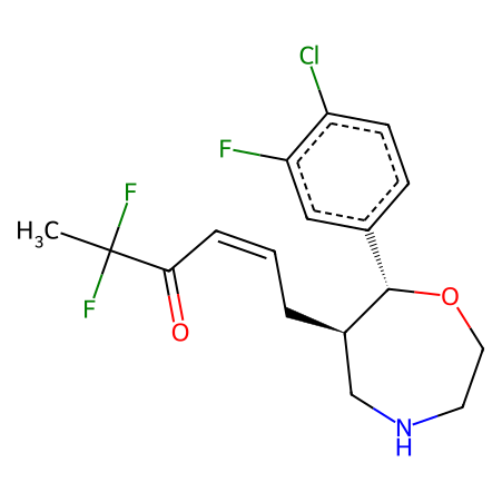 CC(F)(F)C(=O)/C=C\C[C@@H]1CNCCO[C@H]1c1ccc(Cl)c(F)c1